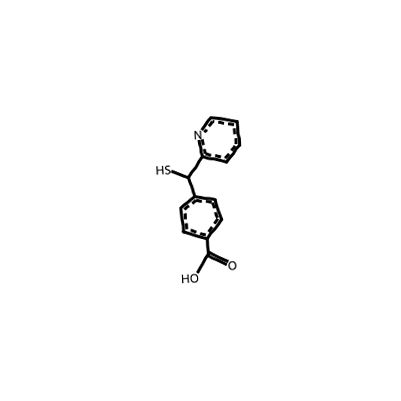 O=C(O)c1ccc(C(S)c2ccccn2)cc1